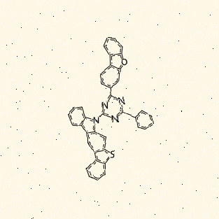 c1ccc(-c2nc(-c3ccc4c(c3)oc3ccccc34)nc(-n3c4ccccc4c4cc5c(cc43)sc3ccccc35)n2)cc1